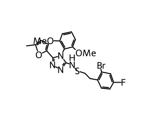 COc1cccc(OC)c1-n1c(NSCCc2ccc(F)cc2Br)nnc1-c1ccc(C)o1